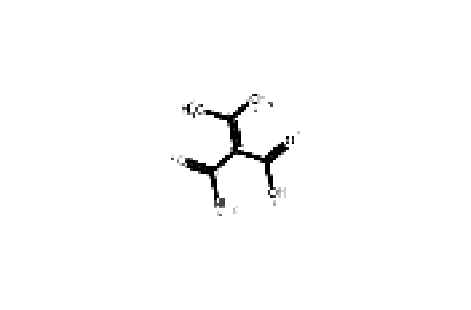 CC(C)=C(C(N)=O)C(=O)O